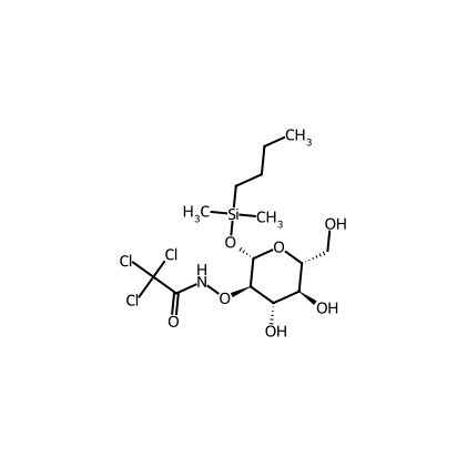 CCCC[Si](C)(C)O[C@@H]1O[C@H](CO)[C@@H](O)[C@H](O)[C@H]1ONC(=O)C(Cl)(Cl)Cl